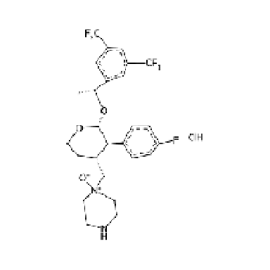 C[C@@H](O[C@H]1OCC[C@@H](C[N+]2([O-])CCNCC2)[C@@H]1c1ccc(F)cc1)c1cc(C(F)(F)F)cc(C(F)(F)F)c1.Cl